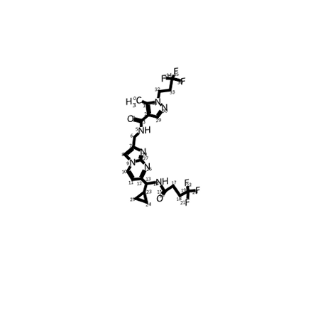 Cc1c(C(=O)NCc2cn3ccc(C(NC(=O)CCC(F)(F)F)C4CC4)nc3n2)cnn1CCC(F)(F)F